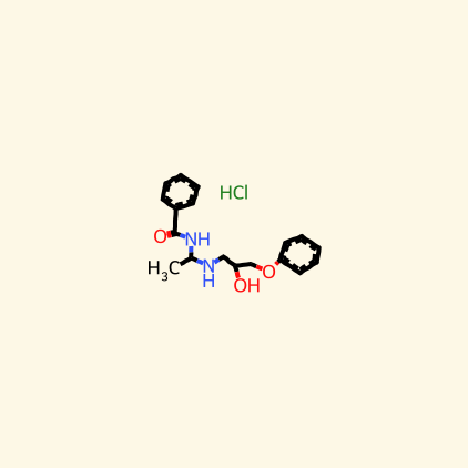 CC(NCC(O)COc1ccccc1)NC(=O)c1ccccc1.Cl